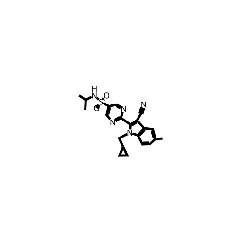 Cc1ccc2c(c1)c(C#N)c(-c1ncc(S(=O)(=O)NC(C)C)cn1)n2CC1CC1